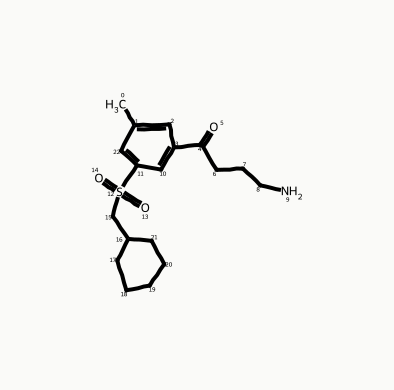 Cc1cc(C(=O)CCCN)cc(S(=O)(=O)CC2CCCCC2)c1